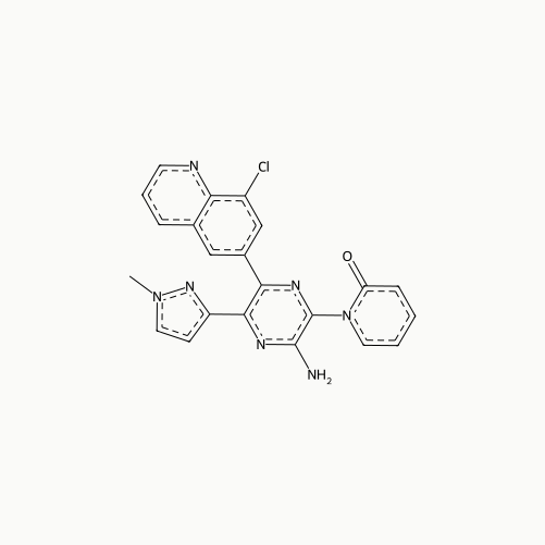 Cn1ccc(-c2nc(N)c(-n3ccccc3=O)nc2-c2cc(Cl)c3ncccc3c2)n1